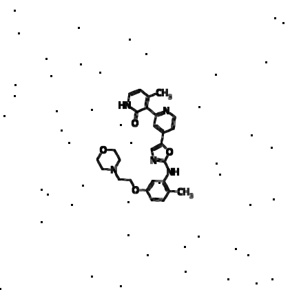 Cc1ccc(OCCN2CCOCC2)cc1Nc1ncc(-c2ccnc(-c3c(C)cc[nH]c3=O)c2)o1